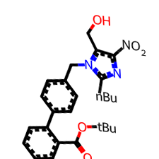 CCCCc1nc([N+](=O)[O-])c(CO)n1Cc1ccc(-c2ccccc2C(=O)OC(C)(C)C)cc1